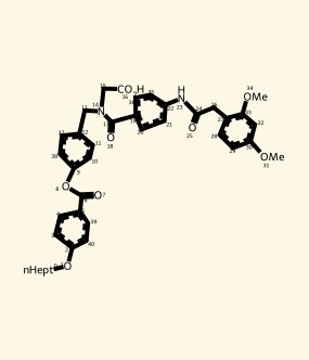 CCCCCCCOc1ccc(C(=O)Oc2ccc(CN(CC(=O)O)C(=O)c3ccc(NC(=O)Cc4ccc(OC)cc4OC)cc3)cc2)cc1